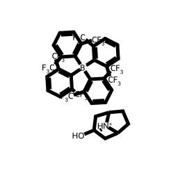 C[NH+]1C2CCC1CC(O)C2.FC(F)(F)c1cccc(C(F)(F)F)c1[B-](c1c(C(F)(F)F)cccc1C(F)(F)F)(c1c(C(F)(F)F)cccc1C(F)(F)F)c1c(C(F)(F)F)cccc1C(F)(F)F